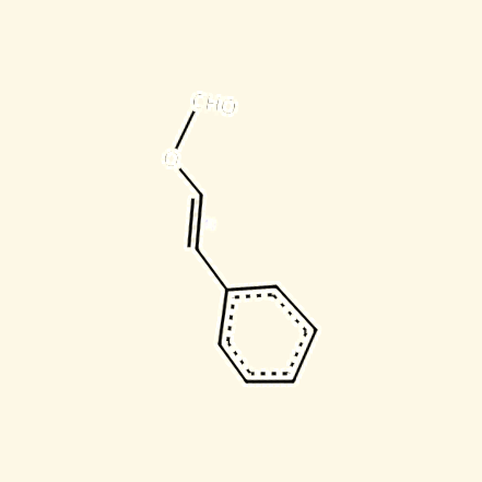 O=CO/C=C/c1ccccc1